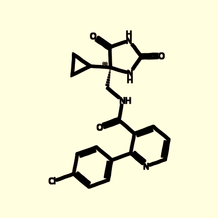 O=C1NC(=O)[C@](CNC(=O)c2cccnc2-c2ccc(Cl)cc2)(C2CC2)N1